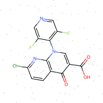 O=C(O)c1cn(-c2c(F)cncc2F)c2nc(Cl)ccc2c1=O